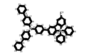 Fc1ccc2c(c1)-c1cc(-c3ccc(N(c4ccc(-c5ccccc5)cc4)c4ccc(-c5ccccc5)cc4)cc3)ccc1S2(c1ccccc1)c1ccccc1